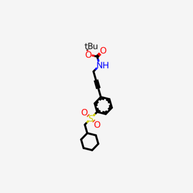 CC(C)(C)OC(=O)NCC#Cc1cccc(S(=O)(=O)CC2CCCCC2)c1